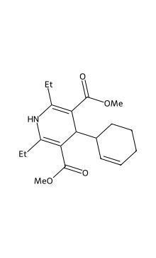 CCC1=C(C(=O)OC)C(C2C=CCCC2)C(C(=O)OC)=C(CC)N1